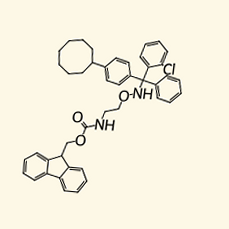 O=C(NCCONC(c1ccccc1)(c1ccc(C2CCCCCCC2)cc1)c1ccccc1Cl)OCC1c2ccccc2-c2ccccc21